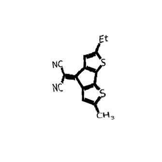 CCc1cc2c(s1)-c1sc(C)cc1C2=C(C#N)C#N